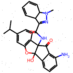 CC(C)c1ccc2c(c1)OC1(O)c3cccc(N)c3C(=O)C21NC(=O)C1=NN(C)C2C=CC=CC12